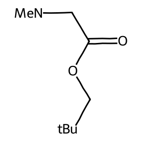 CNCC(=O)OCC(C)(C)C